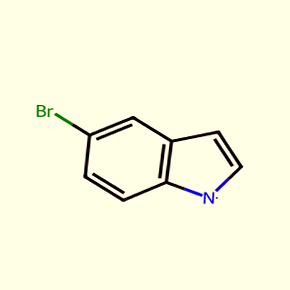 Brc1ccc2c(c1)C=C[N]2